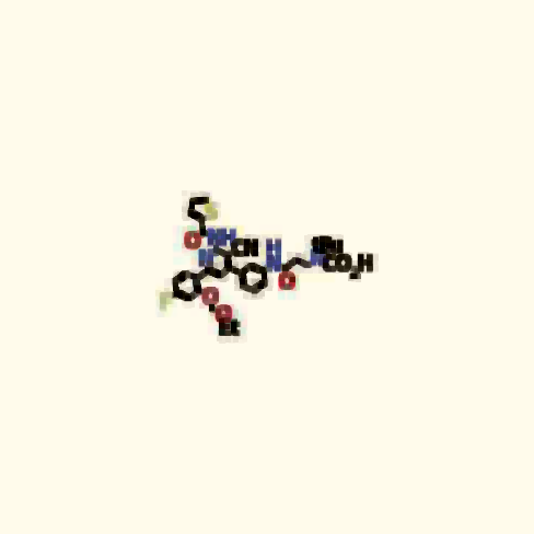 CCOCOc1cc(F)ccc1-c1cc(-c2cccc(NC(=O)CCN(C(=O)O)C(C)(C)C)c2)c(C#N)c(NC(=O)c2cccs2)n1